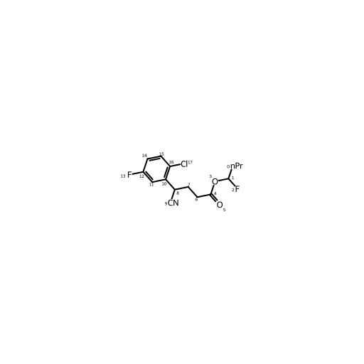 CCCC(F)OC(=O)CCC(C#N)c1cc(F)ccc1Cl